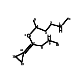 CNCCC(C)OC(CNC)=C1CC1